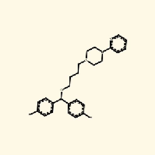 Fc1ccc(C(OCCCCN2CCN(c3ccccn3)CC2)c2ccc(F)cc2)cc1